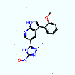 COc1ccccc1-c1c[nH]c2ncc(-c3nnc(N=O)[nH]3)cc12